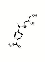 NC(=O)c1ccc(C(=O)NCC(O)CO)cc1